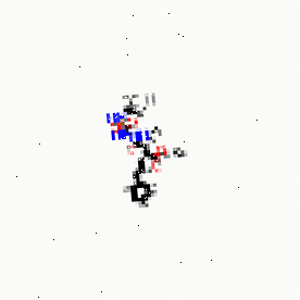 CC(C)C[C@@H](C(=O)NNS(=O)(=O)NC(C)C(=O)O)[C@H](C/C=C/c1ccccc1)C(=O)OC(C)(C)C